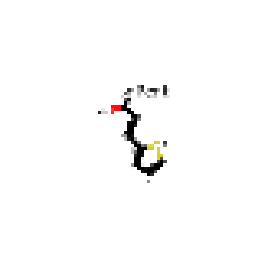 CCCCCC(=O)/C=C/c1cccs1